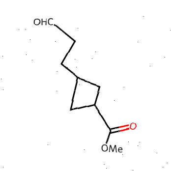 COC(=O)C1CC(CCC=O)C1